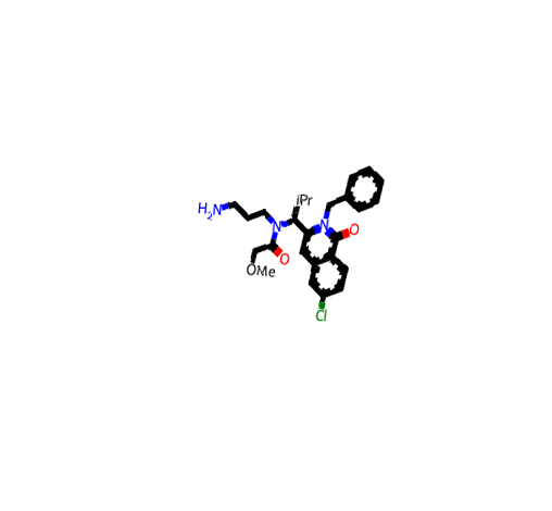 COCC(=O)N(CCCN)C(c1cc2cc(Cl)ccc2c(=O)n1Cc1ccccc1)C(C)C